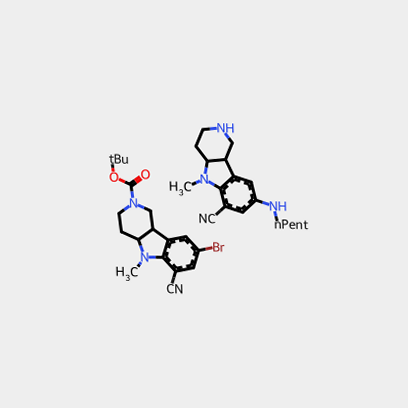 CCCCCNc1cc(C#N)c2c(c1)C1CNCCC1N2C.CN1c2c(C#N)cc(Br)cc2C2CN(C(=O)OC(C)(C)C)CCC21